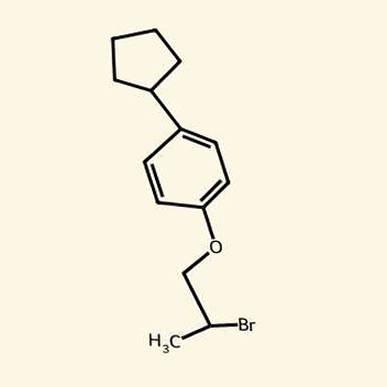 CC(Br)COc1ccc(C2CCCC2)cc1